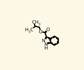 CC(C)COC(=O)c1n[nH]c2ccccc12